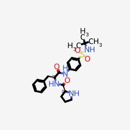 CC(C)(C)NS(=O)(=O)c1ccc(NC(=O)[C@H](Cc2ccccc2)NC(=O)[C@@H]2CCCN2)cc1